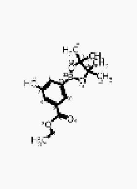 CCOC(=O)c1cc(O)cc(B2OC(C)(C)C(C)(C)O2)c1